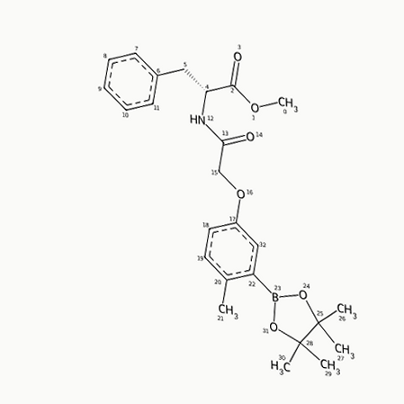 COC(=O)[C@@H](Cc1ccccc1)NC(=O)COc1ccc(C)c(B2OC(C)(C)C(C)(C)O2)c1